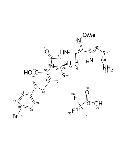 CON=C(C(=O)NC1C(=O)N2C(C(=O)O)=C(COc3ccc(Br)cc3)CS[C@@H]12)c1csc(N)n1.O=C(O)C(F)(F)F